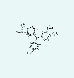 Cc1ccc(P(c2ccc(C)c(S(=O)(=O)O)c2)c2ccc(C)c(S(=O)(=O)O)c2)cc1